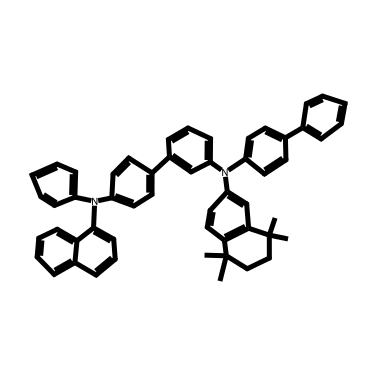 CC1(C)CCC(C)(C)c2cc(N(c3ccc(-c4ccccc4)cc3)c3cccc(-c4ccc(N(c5ccccc5)c5cccc6ccccc56)cc4)c3)ccc21